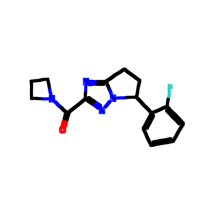 O=C(c1nc2n(n1)C(c1ccccc1F)CC2)N1CCC1